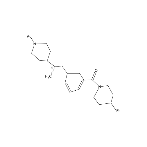 CC(=O)N1CCC([C@@H](C)Cc2cccc(C(=O)N3CCC(C(C)C)CC3)c2)CC1